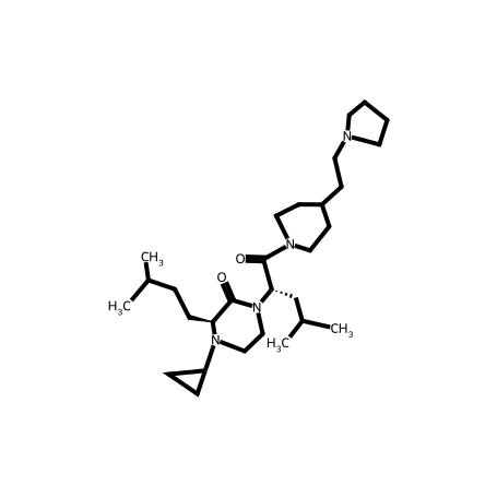 CC(C)CC[C@H]1C(=O)N([C@@H](CC(C)C)C(=O)N2CCC(CCN3CCCC3)CC2)CCN1C1CC1